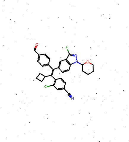 N#Cc1ccc(C(=C(c2ccc(C=O)cc2)c2ccc3c(c2)c(F)nn3C2CCCCO2)C2CCC2)c(Cl)c1